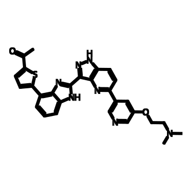 CC(=O)c1ccc(-c2cccc3[nH]c(-c4n[nH]c5ccc(-c6cncc(OCCN(C)C)c6)nc45)nc23)s1